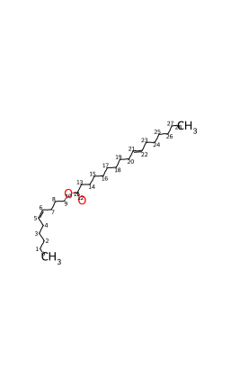 CCCCC/C=C\CCCOC(=O)CCCCCCCC/C=C/CCCCCC